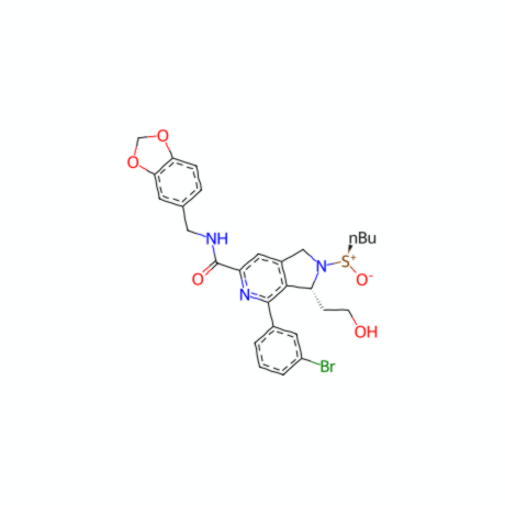 CCCC[S@@+]([O-])N1Cc2cc(C(=O)NCc3ccc4c(c3)OCO4)nc(-c3cccc(Br)c3)c2[C@H]1CCO